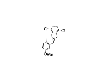 COc1ccc(C)c(CN2Cc3c(Cl)ccc(Cl)c3C2)c1